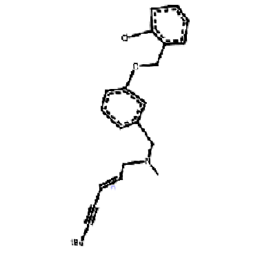 CN(C/C=C/C#CC(C)(C)C)Cc1cccc(OCc2ccccc2Cl)c1